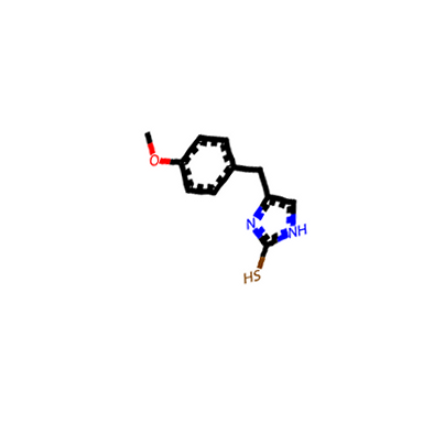 COc1ccc(Cc2c[nH]c(S)n2)cc1